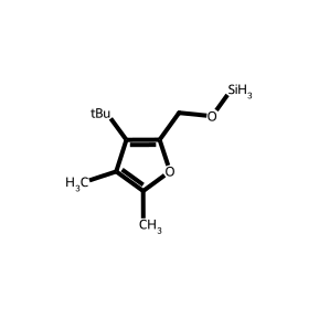 Cc1oc(CO[SiH3])c(C(C)(C)C)c1C